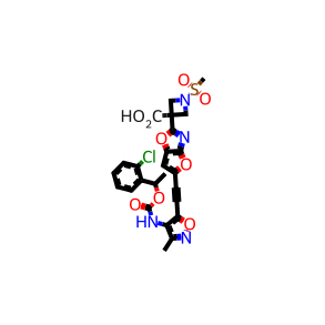 Cc1noc(C#Cc2cc3oc(C4(C(=O)O)CN(S(C)(=O)=O)C4)nc3o2)c1NC(=O)OC(C)c1ccccc1Cl